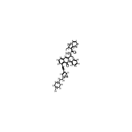 Cc1nn2cccnc2c1C(=O)NC(C)c1cc2cccc(C#Cc3cnn(CCN4CCN(C)CC4)c3)c2c(=O)n1-c1ccccc1